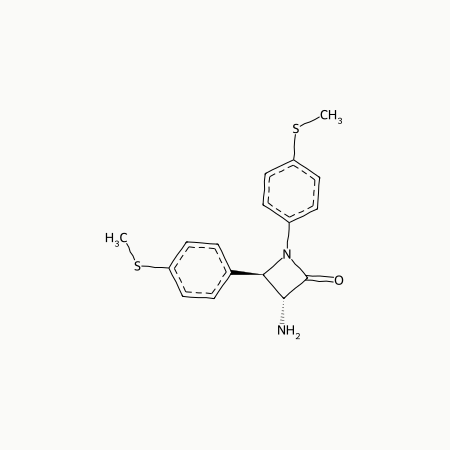 CSc1ccc([C@@H]2[C@@H](N)C(=O)N2c2ccc(SC)cc2)cc1